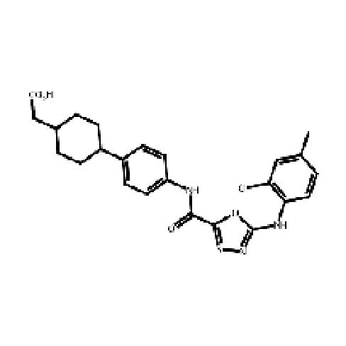 Cc1ccc(Nc2nnc(C(=O)Nc3ccc(C4CCC(CC(=O)O)CC4)cc3)o2)c(Cl)c1